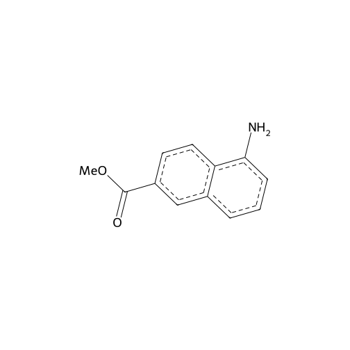 COC(=O)c1ccc2c(N)cccc2c1